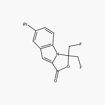 CC(C)c1ccc2c(c1)cc1n2C(CF)(CF)OC1=O